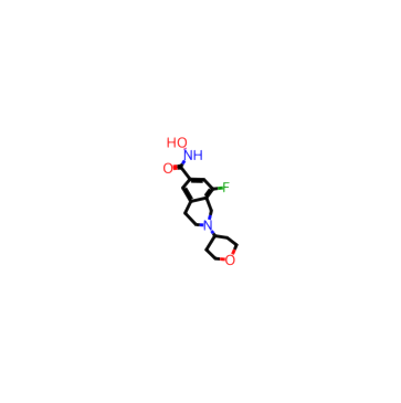 O=C(NO)c1cc(F)c2c(c1)CCN(C1CCOCC1)C2